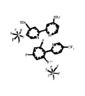 CC(C)(C)c1ccnc(-c2cc(C(C)(C)C)ccn2)c1.F[P-](F)(F)(F)(F)F.F[P-](F)(F)(F)(F)F.Fc1cc(F)c(-c2ccc(C(F)(F)F)cn2)[c]([Ir+2])c1